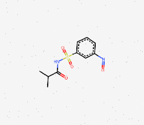 CC(C)C(=O)NS(=O)(=O)c1cccc(N=O)c1